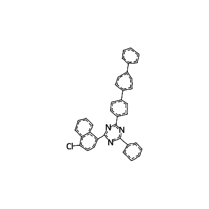 Clc1ccc(-c2nc(-c3ccccc3)nc(-c3ccc(-c4ccc(-c5ccccc5)cc4)cc3)n2)c2ccccc12